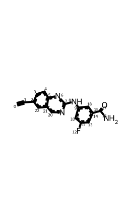 C#Cc1ccc2nc(Nc3cc(F)cc(C(N)=O)c3)ncc2c1